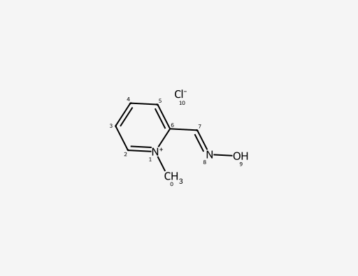 C[n+]1ccccc1/C=N/O.[Cl-]